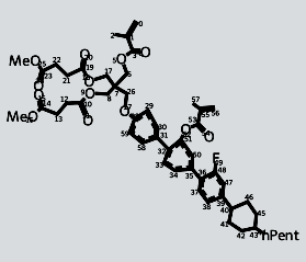 C=C(C)C(=O)OCC(COC(=O)CCC(=O)OC)(COC(=O)CCC(=O)OC)COc1ccc(-c2ccc(-c3ccc(C4CCC(CCCCC)CC4)cc3F)cc2OC(=O)C(=C)C)cc1